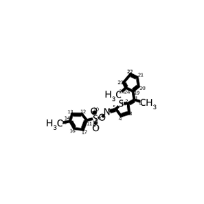 C/C(=C1C=C/C(=N\OS(=O)(=O)c2ccc(C)cc2)S\1)c1ccccc1C